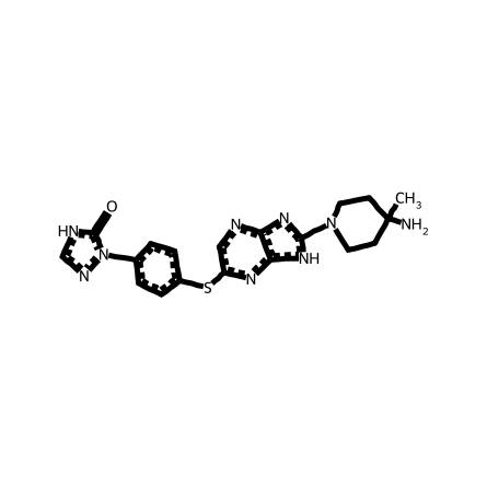 CC1(N)CCN(c2nc3ncc(Sc4ccc(-n5nc[nH]c5=O)cc4)nc3[nH]2)CC1